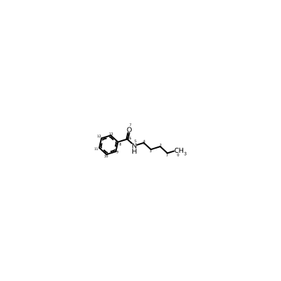 CCCC[CH]NC(=O)c1ccccc1